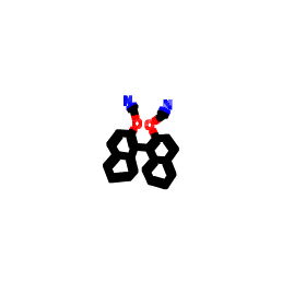 N#COc1ccc2ccccc2c1-c1c(OC#N)ccc2ccccc12